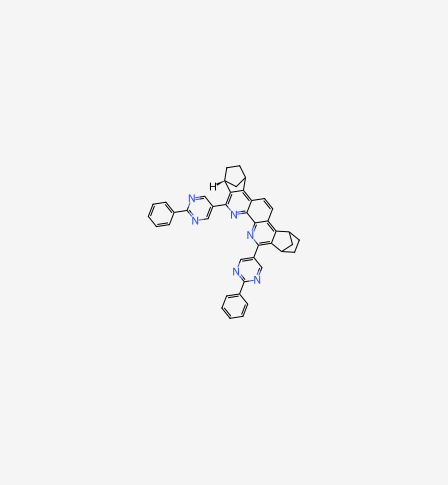 c1ccc(-c2ncc(-c3nc4c(ccc5c6c(c(-c7cnc(-c8ccccc8)nc7)nc54)[C@@H]4CCC6C4)c4c3C3CCC4C3)cn2)cc1